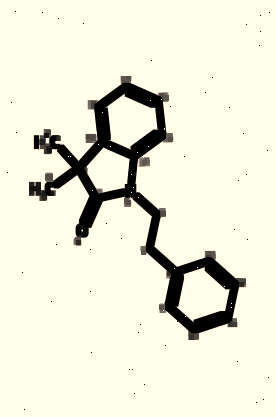 CC1(C)C(=O)N(CCc2ccccc2)c2ccccc21